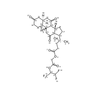 C[C@H](CCC(=O)OCC(=O)OC(C(F)F)C(F)(F)F)C1CC[C@H]2[C@@H]3C(=O)C[C@@H]4CC(=O)CC[C@]4(C)[C@H]3CC(=O)[C@]12C